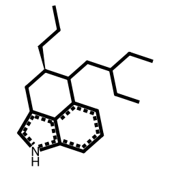 CCC[C@@H]1Cc2c[nH]c3cccc(c23)C1CC(CC)CC